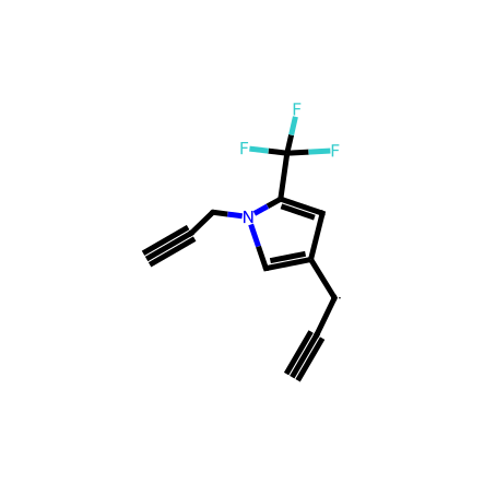 C#C[CH]c1cc(C(F)(F)F)n(CC#C)c1